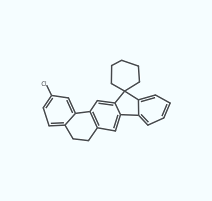 Clc1ccc2c(c1)-c1cc3c(cc1CC2)-c1ccccc1C31CCCCC1